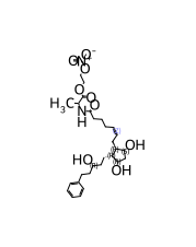 CC(NC(=O)CCC/C=C\C[C@@H]1[C@@H](CC[C@@H](O)CCc2ccccc2)[C@H](O)C[C@@H]1O)C(=O)OCCO[N+](=O)[O-]